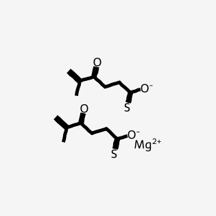 C=C(C)C(=O)CCC([O-])=S.C=C(C)C(=O)CCC([O-])=S.[Mg+2]